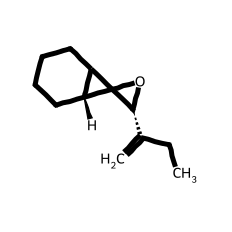 C=C(CC)[C@H]1OC12C1CCCC[C@H]12